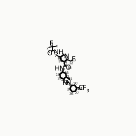 CC(C)(F)C(=O)NCc1cnc(CF)c(C(=O)Nc2ccc3nn(-c4cccc(C(F)(F)F)c4)cc3c2)c1